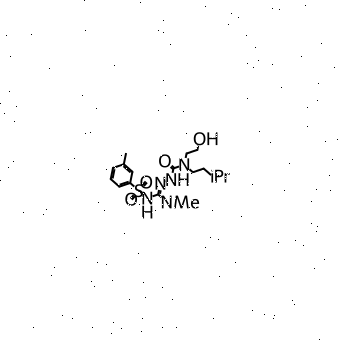 CNC(=NNC(=O)N(CCO)CCC(C)C)NS(=O)(=O)c1cccc(C)c1